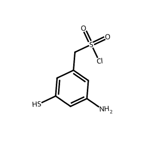 Nc1cc(S)cc(CS(=O)(=O)Cl)c1